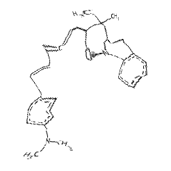 CN(C)c1ccc(/C=C/C=C=CC2ON3c4ccccc4CC3C2(C)C)cc1